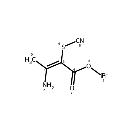 C/C(N)=C(\SC#N)C(=O)OC(C)C